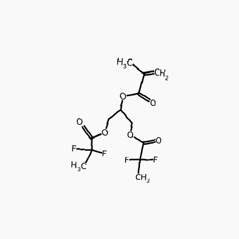 C=C(C)C(=O)OC(COC(=O)C(C)(F)F)COC(=O)C(C)(F)F